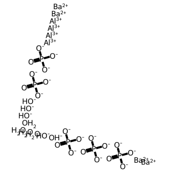 O.O.O.O.O=P([O-])([O-])[O-].O=P([O-])([O-])[O-].O=P([O-])([O-])[O-].O=P([O-])([O-])[O-].O=P([O-])([O-])[O-].[Al+3].[Al+3].[Al+3].[Al+3].[Ba+2].[Ba+2].[Ba+2].[Ba+2].[OH-].[OH-].[OH-].[OH-].[OH-]